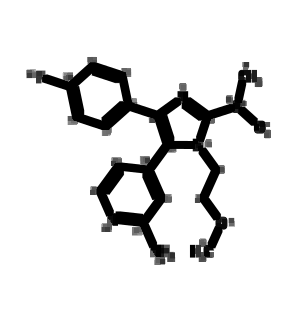 COCCn1c([S+](C)[O-])nc(-c2ccc(F)cc2)c1-c1ccnc(N)c1